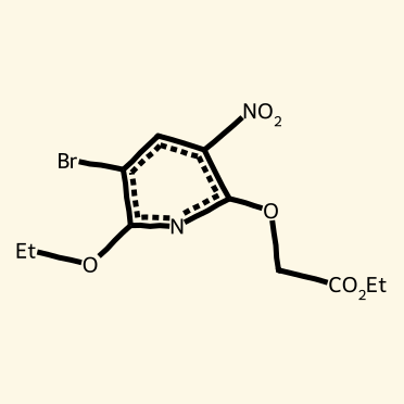 CCOC(=O)COc1nc(OCC)c(Br)cc1[N+](=O)[O-]